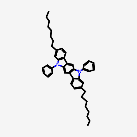 CCCCCCCCc1ccc2c3cc4c(cc3n(-c3ccccc3)c2c1)c1ccc(CCCCCCCC)cc1n4-c1ccccc1